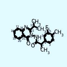 Cc1ccc(C(C)C(=O)Nn2c(C(C)C)nc3ccccc3c2=O)cc1F